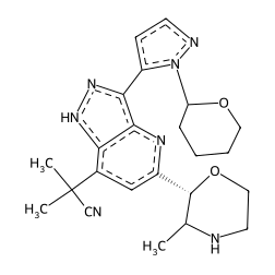 CC1NCCO[C@H]1c1cc(C(C)(C)C#N)c2[nH]nc(-c3ccnn3C3CCCCO3)c2n1